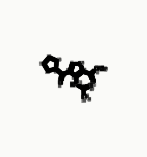 COC(=O)c1scc(C(=O)C2CCCC2)c1NC(=O)C(F)(F)F